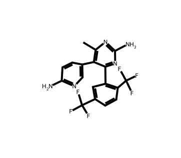 Cc1nc(N)nc(-c2cc(C(F)(F)F)ccc2C(F)(F)F)c1-c1ccc(N)nc1